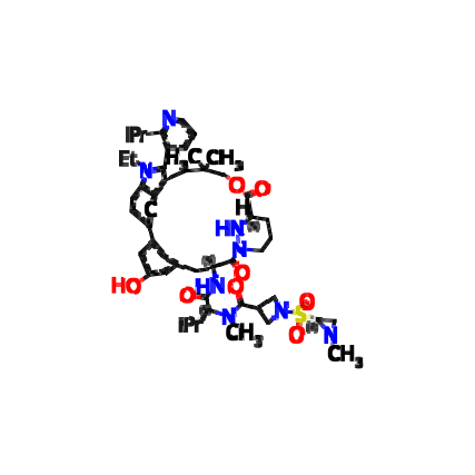 CCn1c(-c2cccnc2C(C)C)c2c3cc(ccc31)-c1cc(O)cc(c1)C[C@H](NC(=O)[C@H](C(C)C)N(C)C(=O)C1CN(S(=O)(=O)[C@@H]3CN3C)C1)C(=O)N1CCC[C@H](N1)C(=O)OCC(C)(C)C2